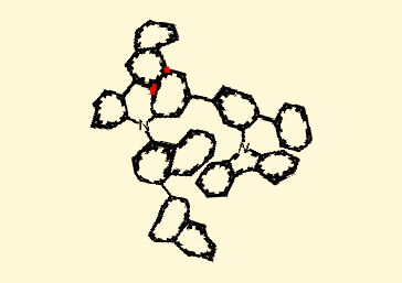 c1ccc(-c2ccc(-c3cccc(N(c4ccccc4-c4ccc5ccccc5c4)c4ccc(-c5ccc6ccccc6c5)c5ccccc45)c3)cc2-n2c3ccccc3c3ccccc32)cc1